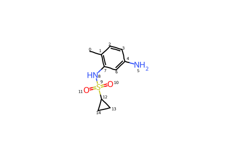 Cc1ccc(N)cc1NS(=O)(=O)C1CC1